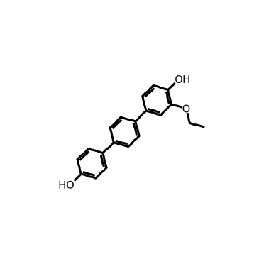 CCOc1cc(-c2ccc(-c3ccc(O)cc3)cc2)ccc1O